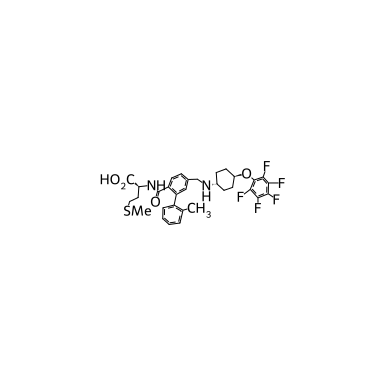 CSCC[C@H](NC(=O)c1ccc(CN[C@H]2CC[C@H](Oc3c(F)c(F)c(F)c(F)c3F)CC2)cc1-c1ccccc1C)C(=O)O